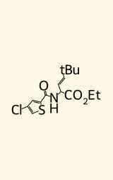 CCOC(=O)C(C=CC(C)(C)C)NC(=O)c1cc(Cl)cs1